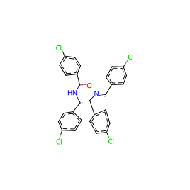 O=C(NC(c1ccc(Cl)cc1)[C@H](N=Cc1ccc(Cl)cc1)c1ccc(Cl)cc1)c1ccc(Cl)cc1